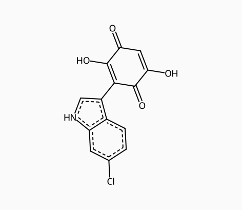 O=C1C=C(O)C(=O)C(c2c[nH]c3cc(Cl)ccc23)=C1O